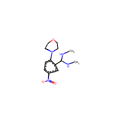 CNC(NC)c1cc([N+](=O)[O-])ccc1N1CCOCC1